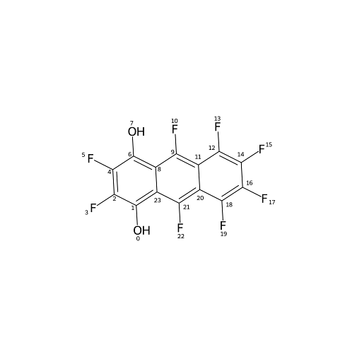 Oc1c(F)c(F)c(O)c2c(F)c3c(F)c(F)c(F)c(F)c3c(F)c12